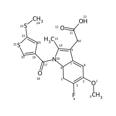 COC1=C(F)CC2C(=C1)C(CC(=O)O)=C(C)N2C(=O)c1csc(SC)c1